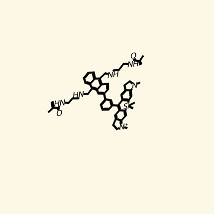 C=C(C)C(=O)NCCCNCc1c2ccccc2c(CNCCCNC(=O)C(=C)C)c2cc(-c3cccc(C4=c5cc6c(cc5[Si](C)(C)c5cc7c(cc54)CCN7C)=[N+](C)CC6)c3)ccc12